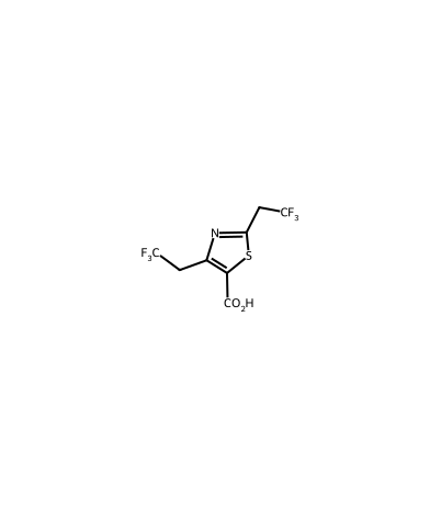 O=C(O)c1sc(CC(F)(F)F)nc1CC(F)(F)F